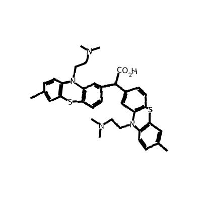 Cc1ccc2c(c1)Sc1ccc(C(C(=O)O)c3ccc4c(c3)N(CCN(C)C)c3ccc(C)cc3S4)cc1N2CCN(C)C